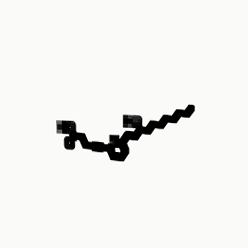 CCCCCCCCC(O)C=Cc1cccc(C#CCCC(=O)O)n1